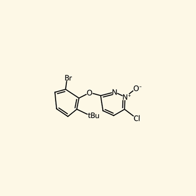 CC(C)(C)c1cccc(Br)c1Oc1ccc(Cl)[n+]([O-])n1